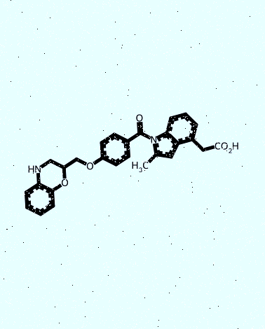 Cc1cc2c(CC(=O)O)cccc2n1C(=O)c1ccc(OCC2CNc3ccccc3O2)cc1